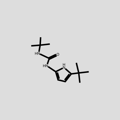 CC(C)(C)NC(=O)Nc1ccc(C(C)(C)C)[nH]1